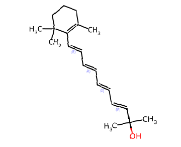 CC1=C(/C=C/C=C/C=C/C=C/C(C)(C)O)C(C)(C)CCC1